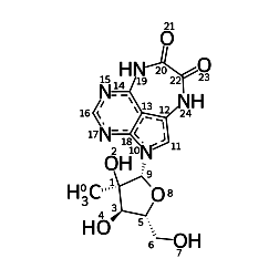 C[C@@]1(O)[C@H](O)[C@@H](CO)O[C@H]1n1cc2c3c(ncnc31)NC(=O)C(=O)N2